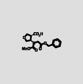 COC(=O)N(CC(=O)OCc1ccccc1)[C@@H]1COC[C@@H]1C(=O)O